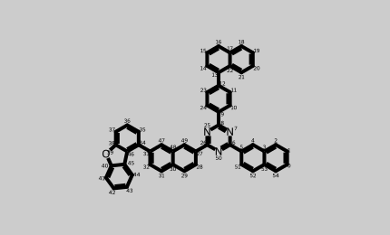 c1ccc2cc(-c3nc(-c4ccc(-c5cccc6ccccc56)cc4)nc(-c4ccc5ccc(-c6cccc7oc8ccccc8c67)cc5c4)n3)ccc2c1